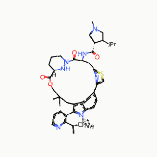 CCn1c(-c2cccnc2[C@H](C)OC)c2c3cc(ccc31)-c1csc(n1)C[C@H](NC(=O)[C@@H]1CN(C)CC1C(C)C)C(=O)N1CCC[C@H](N1)C(=O)OCC(C)(C)C2